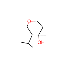 CC(C)C1COCCC1(C)O